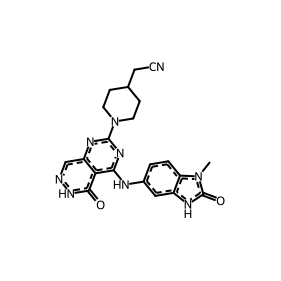 Cn1c(=O)[nH]c2cc(Nc3nc(N4CCC(CC#N)CC4)nc4cn[nH]c(=O)c34)ccc21